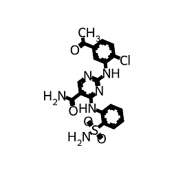 CC(=O)c1ccc(Cl)c(Nc2ncc(C(N)=O)c(Nc3ccccc3S(N)(=O)=O)n2)c1